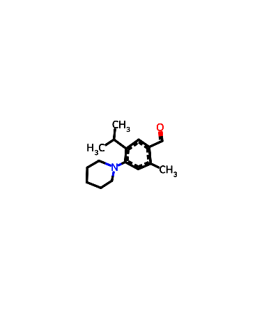 Cc1cc(N2CCCCC2)c(C(C)C)cc1C=O